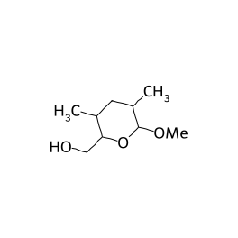 COC1OC(CO)C(C)CC1C